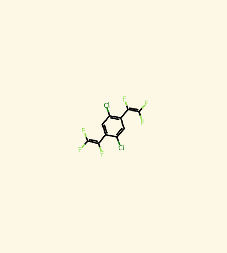 FC(F)=C(F)c1cc(Cl)c(C(F)=C(F)F)cc1Cl